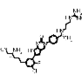 C[C@H](NCCCNC(=N)N)c1ccc(-n2cc3cc(-c4cc(CCC[C@@H](N)CN)cc(Cl)c4F)[nH]c3nc2=O)cc1